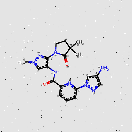 Cn1cc(NC(=O)c2cccc(-n3cc(N)cn3)n2)c(N2CCC(C)(C)C2=O)n1